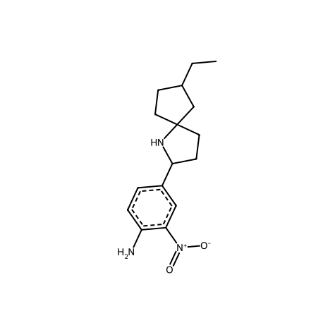 CCC1CCC2(CCC(c3ccc(N)c([N+](=O)[O-])c3)N2)C1